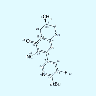 C[C@H]1CSc2cc(-c3cnc(C(C)(C)C)c(F)c3)c(C#N)c(=O)n2C1